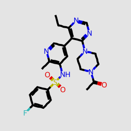 CCc1ncnc(N2CCN(C(C)=O)CC2)c1-c1cnc(C)c(NS(=O)(=O)c2ccc(F)cc2)c1